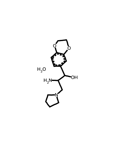 NC(CN1CCCC1)C(O)c1ccc2c(c1)OCCO2.O